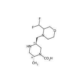 C[C@@H]1CN[C@@H](CN2CCOCC2C(F)F)CN1C(=O)O